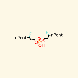 CCCCCC(F)CCOP(=O)(O)OCCC(F)CCCCC